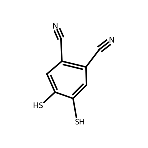 N#Cc1cc(S)c(S)cc1C#N